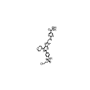 CN(Cc1nc2c(N3CCOCC3)nc(-c3ccc(NS(=O)(=O)CCCCl)cc3)nc2n1C)c1ncc(C(=O)NO)cn1